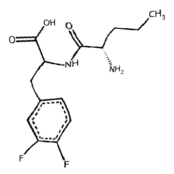 CCC[C@H](N)C(=O)NC(Cc1ccc(F)c(F)c1)C(=O)O